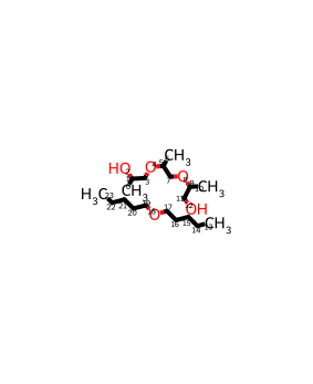 CC(O)COC(C)COC(C)CO.CCCCCOCCCCC